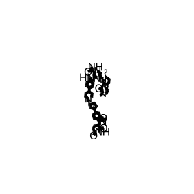 CN1CCN([C@@H]2CCCN(c3cnc(C(N)=O)c(Nc4ccc(C5CCN(C[C@@H]6CCC(c7ccc8c(C9CCC(=O)NC9=O)noc8c7)C6)CC5)cc4)n3)C2)C1=O